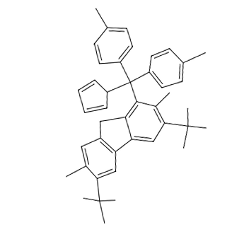 Cc1ccc(C(c2ccc(C)cc2)(c2c(C)c(C(C)(C)C)cc3c2Cc2cc(C)c(C(C)(C)C)cc2-3)C2C=CC=C2)cc1